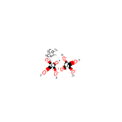 [Co+2].[Co+2].[O]=[Cr](=[O])([O-])[O-].[O]=[Cr](=[O])([O-])[O-]